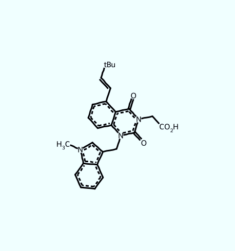 Cn1cc(Cn2c(=O)n(CC(=O)O)c(=O)c3c(C=CC(C)(C)C)cccc32)c2ccccc21